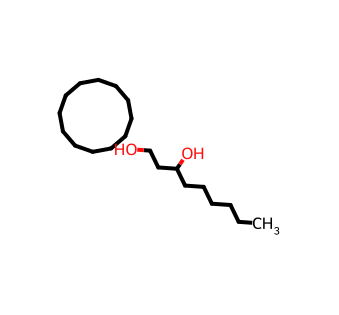 C1CCCCCCCCCCC1.CCCCCCC(O)CCO